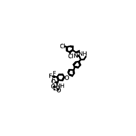 CCC(c1ccc(-c2ccc(Oc3ccc(C(F)(F)F)c(C(=O)NS(C)(=O)=O)c3)cc2)cc1)c1nc(-c2ccc(Cl)cc2Cl)c[nH]1